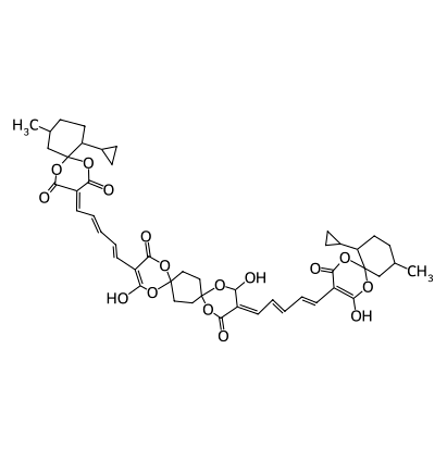 CC1CCC(C2CC2)C2(C1)OC(=O)C(=C/C=C/C=C/C1=C(O)OC3(CCC4(CC3)OC(=O)/C(=C/C=C/C=C/C3=C(O)OC5(CC(C)CCC5C5CC5)OC3=O)C(O)O4)OC1=O)C(=O)O2